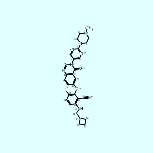 CN1CCN(c2ncc(-n3cnc4ccc(Oc5c(F)ccc(NSN6CCC6)c5C#N)cc4c3=O)cn2)CC1